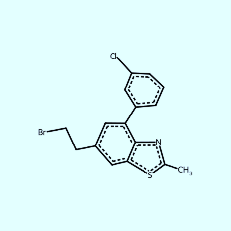 Cc1nc2c(-c3cccc(Cl)c3)cc(CCBr)cc2s1